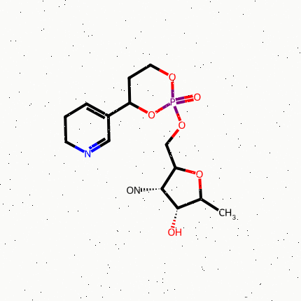 CC1OC(COP2(=O)OCCC(C3=CCCN=C3)O2)[C@@H](N=O)[C@H]1O